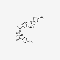 COc1cc(C(=O)ONS(=O)(=O)C(=O)c2ccc(C)cc2)ccc1Cn1ncc2cc(N)ccc21